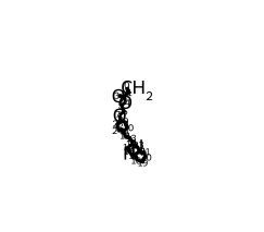 C=CC(=O)OCCOc1ccc(/C=C/c2cnc3ccccc3n2)cc1